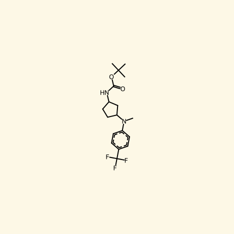 CN(c1ccc(C(F)(F)F)cc1)C1CCC(NC(=O)OC(C)(C)C)C1